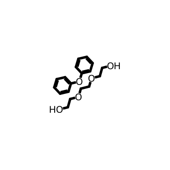 OCCOCCOCCO.c1ccc(Oc2ccccc2)cc1